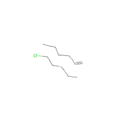 C=CCCCC.CCCCCCl